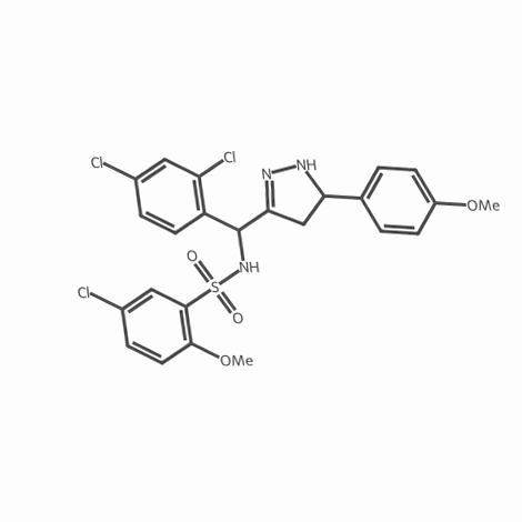 COc1ccc(C2CC(C(NS(=O)(=O)c3cc(Cl)ccc3OC)c3ccc(Cl)cc3Cl)=NN2)cc1